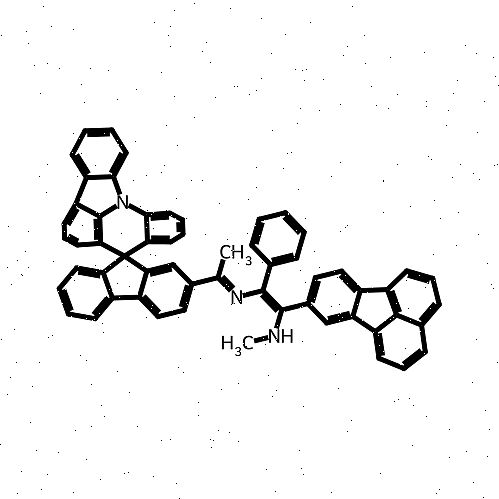 CN/C(=C(\N=C(/C)c1ccc2c(c1)C1(c3ccccc3-2)c2ccccc2-n2c3ccccc3c3cccc1c32)c1ccccc1)c1ccc2c(c1)-c1cccc3cccc-2c13